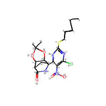 CCCCCSc1nc(Cl)c([N+](=O)[O-])c(C23CC(C(=O)N2)C2OC(C)(C)OC23)n1